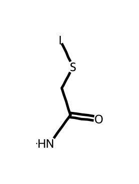 [NH]C(=O)CSI